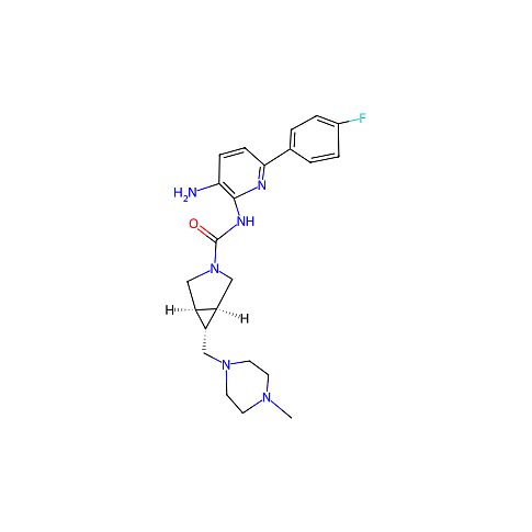 CN1CCN(C[C@@H]2[C@H]3CN(C(=O)Nc4nc(-c5ccc(F)cc5)ccc4N)C[C@@H]23)CC1